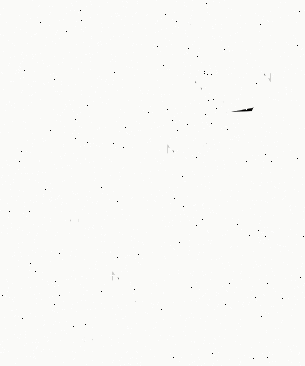 CC(C)CN(CC(C)C)[C@@H](CN)C(=O)Nc1ccc(N2CCOCC2=O)c(OC(F)F)c1